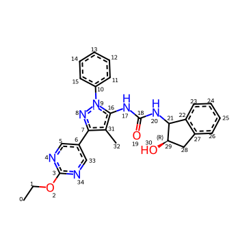 CCOc1ncc(-c2nn(-c3ccccc3)c(NC(=O)NC3c4ccccc4C[C@H]3O)c2C)cn1